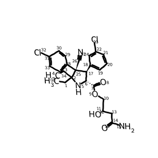 CCC1(CC)N[C@@H](C(=O)OC[C@@H](O)CC(N)=O)[C@H](c2cccc(Cl)c2)[C@@]1(C#N)c1ccc(Cl)cc1